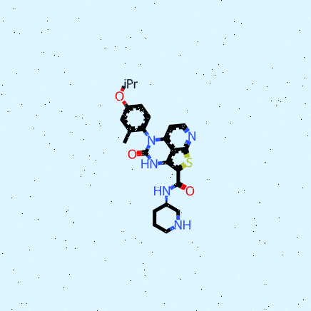 Cc1cc(OC(C)C)ccc1N1C(=O)Nc2c(C(=O)N[C@@H]3CCCNC3)sc3nccc1c23